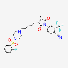 CC1=C(CCCCCN2CCN(S(=O)(=O)c3ccccc3F)CC2)C(=O)N(c2ccc(C#N)c(C(F)(F)F)c2)C1=O